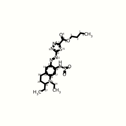 CCCCOC(=O)c1nnc(N=Nc2cc3c(cc2N[SH](=O)=O)N(CC)C(CC)CC3)s1